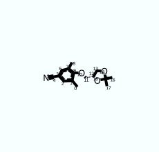 Cc1cc(C#N)cc(C)c1OC[C@@H]1COC(C)(C)O1